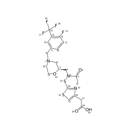 CC(=O)N(C[C@@H]1CN(Cc2ccc(F)c(C(F)(F)F)c2)CCO1)Sc1nc(CC(=O)O)cs1